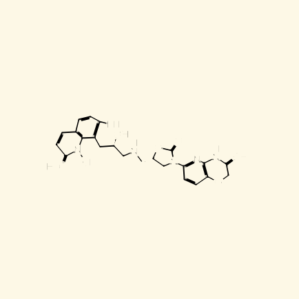 C=C1COc2ccc(N3C[C@H](CNC[C@H](O)Cc4c(P)ccc5c4N(C)C(=C)C=C5)OC3=O)nc2N1